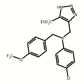 CCOC(=O)c1[nH]nnc1CN(Cc1ccc(OC(F)(F)F)cc1)c1ccc(Cl)cc1